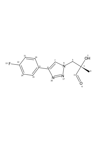 C[C@@](O)(C=O)Cn1cc(-c2ccc(F)cc2)nn1